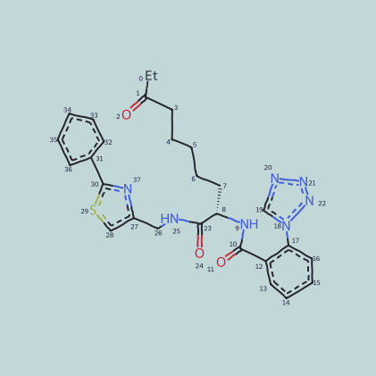 CCC(=O)CCCCC[C@H](NC(=O)c1ccccc1-n1cnnn1)C(=O)NCc1csc(-c2ccccc2)n1